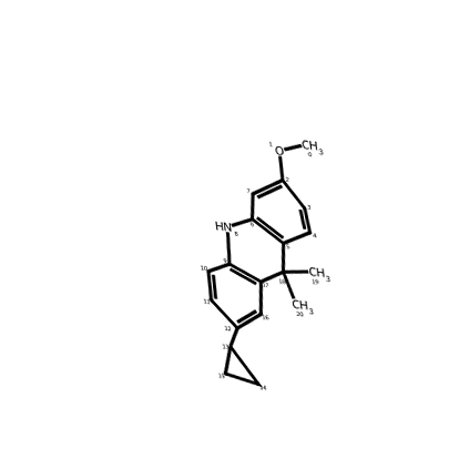 COc1ccc2c(c1)Nc1ccc(C3CC3)cc1C2(C)C